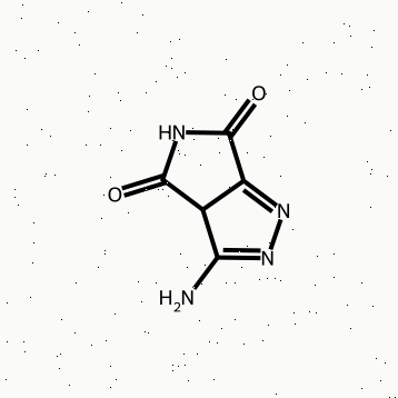 NC1=NN=C2C(=O)NC(=O)C12